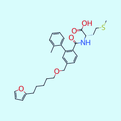 CSCC[C@H](NC(=O)c1ccc(COCCCCCc2ccco2)cc1-c1ccccc1C)C(=O)O